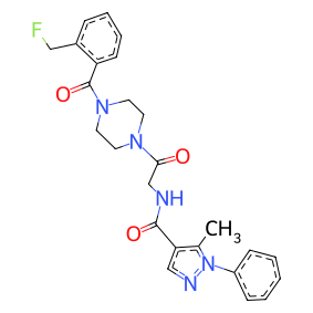 Cc1c(C(=O)NCC(=O)N2CCN(C(=O)c3ccccc3CF)CC2)cnn1-c1ccccc1